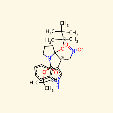 CC(C)(C)OC(=O)N1CCCC1(O[Si](C)(C)C(C)(C)C)[C@H](C[N+](=O)[O-])c1c[nH]c2ccccc12